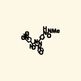 CNC(=O)Nc1ccc(-c2nc(N3CCOCC3)c3onc(C4CCN(S(C)(=O)=O)CC4)c3n2)cc1